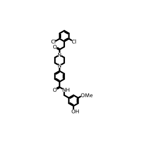 COc1cc(O)cc(CNC(=O)c2ccc(N3CCN(C(=O)Cc4c(Cl)cccc4Cl)CC3)cc2)c1